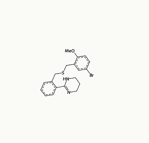 COc1ccc(Br)cc1CSCc1ccccc1C1=NCCCN1